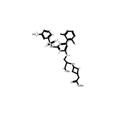 COC(=O)CC1CC(NC(COc2cc(-c3c(C)cccc3C)nc(NS(=O)(=O)c3cccc(C(=O)O)c3)n2)CC(C)(C)C)C1